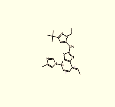 C/C=C(\C=C/[C@H](C)n1cnc(C)c1)c1csc(Nc2cc(C(C)(C)C)nn2CC)n1